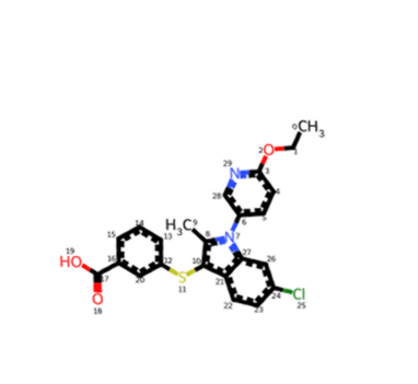 CCOc1ccc(-n2c(C)c(Sc3cccc(C(=O)O)c3)c3ccc(Cl)cc32)cn1